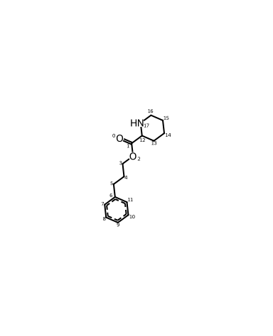 O=C(OCCCc1ccccc1)C1CCCCN1